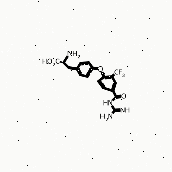 N=C(N)NC(=O)c1ccc(Oc2ccc(C[C@H](N)C(=O)O)cc2)c(C(F)(F)F)c1